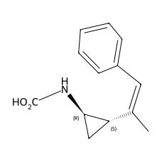 CC(=Cc1ccccc1)[C@@H]1C[C@H]1NC(=O)O